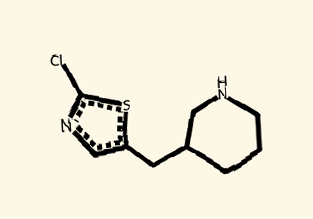 Clc1ncc(CC2CCCNC2)s1